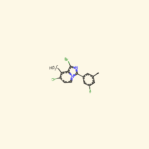 Cc1cc(F)cc(-c2nc(Br)c3c(C(=O)O)c(Cl)ccn23)c1